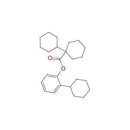 O=C(Oc1ccccc1C1CCCCC1)C1(C2CCCCC2)CCCCC1